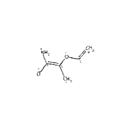 C=CO/C(C)=C(\N)Cl